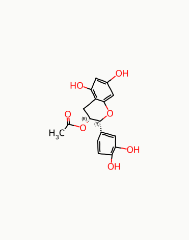 CC(=O)O[C@@H]1Cc2c(O)cc(O)cc2O[C@@H]1c1ccc(O)c(O)c1